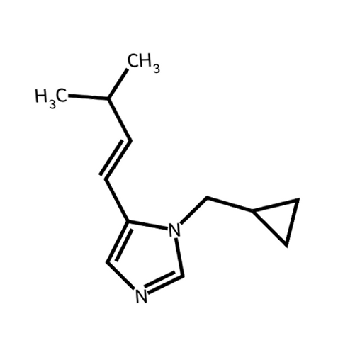 CC(C)C=Cc1cncn1CC1CC1